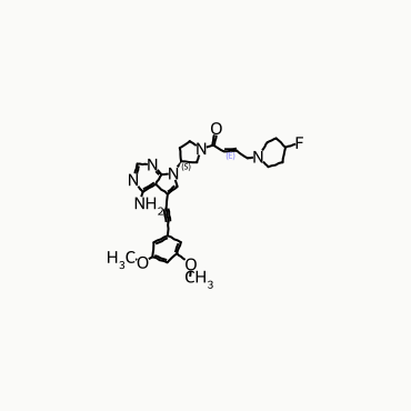 COc1cc(C#Cc2cn([C@H]3CCN(C(=O)/C=C/CN4CCC(F)CC4)C3)c3ncnc(N)c23)cc(OC)c1